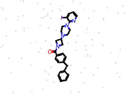 O=C(c1ccc(Cc2ccccc2)cc1)N1CC(N2CCN(c3ncccc3I)CC2)C1